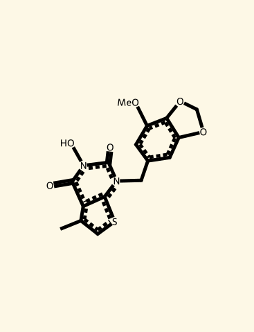 COc1cc(Cn2c(=O)n(O)c(=O)c3c(C)csc32)cc2c1OCO2